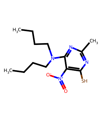 CCCCN(CCCC)c1nc(C)nc(S)c1[N+](=O)[O-]